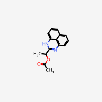 CC(=O)OC(C)C1=Nc2cccc3cccc(c23)N1